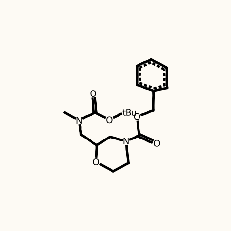 CN(CC1CN(C(=O)OCc2ccccc2)CCO1)C(=O)OC(C)(C)C